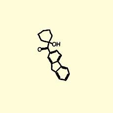 O=C(c1ccc2c(c1)Cc1ccccc1-2)C1(O)CCCCC1